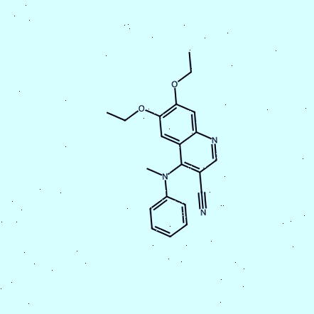 CCOc1cc2ncc(C#N)c(N(C)c3ccccc3)c2cc1OCC